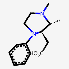 C[C@@H]1[C@@H](CC(=O)O)N(c2ccccc2)CCN1C